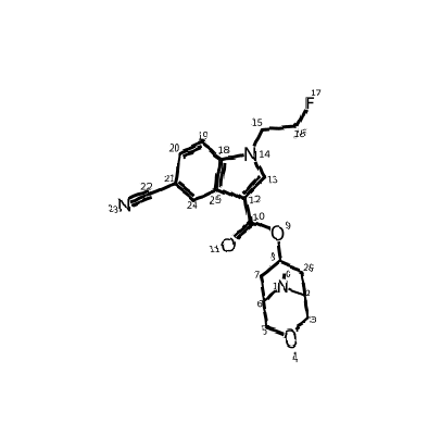 CN1C2COCC1CC(OC(=O)c1cn(CCF)c3ccc(C#N)cc13)C2